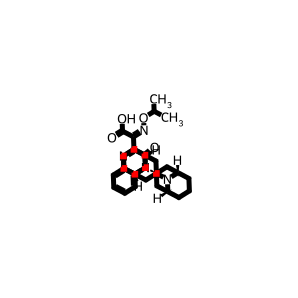 CC(C)O/N=C(\C(=O)O)c1nc2ccccc2n([C@H]2C[C@H]3CCC[C@@H](C2)N3C2C[C@H]3CCC[C@@H](C2)C3)c1=O